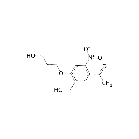 CC(=O)c1cc(CO)c(OCCCO)cc1[N+](=O)[O-]